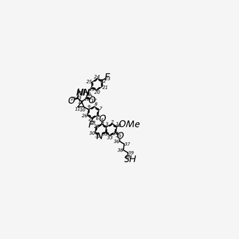 COc1cc2c(Oc3ccc(C4CC4(C(N)=O)C(=O)Nc4ccc(F)cc4)cc3F)ccnc2cc1OCCCCS